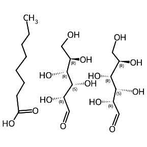 CCCCCCCC(=O)O.O=C[C@H](O)[C@@H](O)[C@H](O)[C@H](O)CO.O=C[C@H](O)[C@@H](O)[C@H](O)[C@H](O)CO